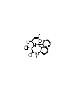 CC1=CC(=O)N2C(Cl)C(=O)N(C)c3ccccc3C2(c2ccccc2)O1